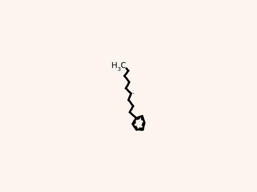 CCCCC[CH]CCCc1ccccc1